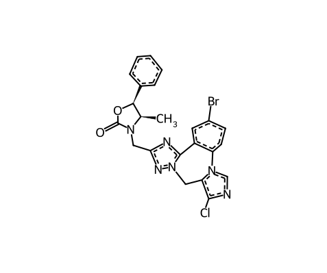 C[C@@H]1[C@H](c2ccccc2)OC(=O)N1Cc1nc2n(n1)Cc1c(Cl)ncn1-c1ccc(Br)cc1-2